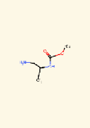 CC(C)(C)OC(=O)NC(CN)C(F)(F)F